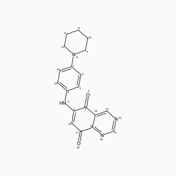 O=C1C(Nc2ccc(N3CCCCC3)cc2)=CC(=O)c2ncncc21